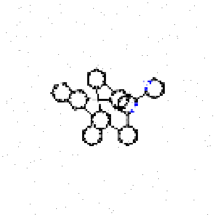 c1ccc(-c2cccc(-c3ccccc3-c3cc4c(c5ccccc35)-c3cc5ccccc5cc3C43c4ccccc4-c4ccccc43)n2)nc1